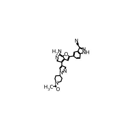 CC(=O)N1CCC(n2cc(-c3cnc(N)c4oc(-c5ccc6[nH]nc(C#N)c6c5)cc34)cn2)CC1